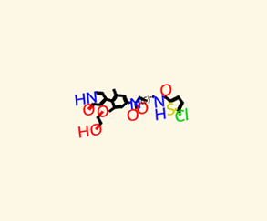 Cc1cc(N2C[C@H](CNC(=O)c3ccc(Cl)s3)OC2=O)cc(C)c1-c1cc[nH]c(=O)c1OCCO